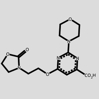 O=C(O)c1cc(OCCN2CCOC2=O)nc(N2CCOCC2)n1